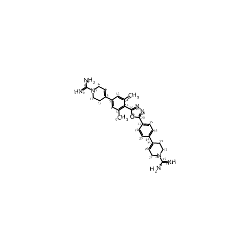 Cc1cc(C2=CCN(C(=N)N)CC2)cc(C)c1-c1nnc(-c2ccc(C3=CCN(C(=N)N)CC3)cc2)o1